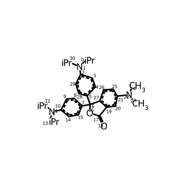 CC(C)N(c1ccc(C2(c3ccc(N(C(C)C)C(C)C)cc3)OC(=O)c3cc(N(C)C)ccc32)cc1)C(C)C